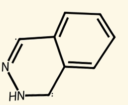 [C]1NN=[C]c2ccccc21